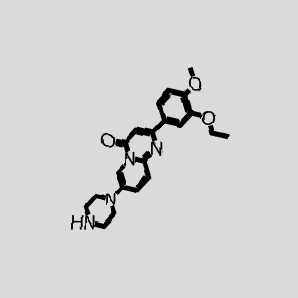 CCOc1cc(-c2cc(=O)n3cc(N4CCNCC4)ccc3n2)ccc1OC